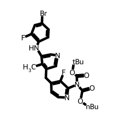 CCCCOC(=O)N(C(=O)OC(C)(C)C)c1nccc(Cc2cncc(Nc3ccc(Br)cc3F)c2C)c1F